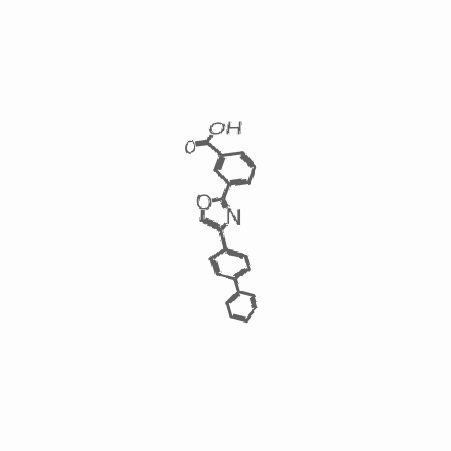 O=C(O)c1cccc(-c2nc(-c3ccc(-c4ccccc4)cc3)co2)c1